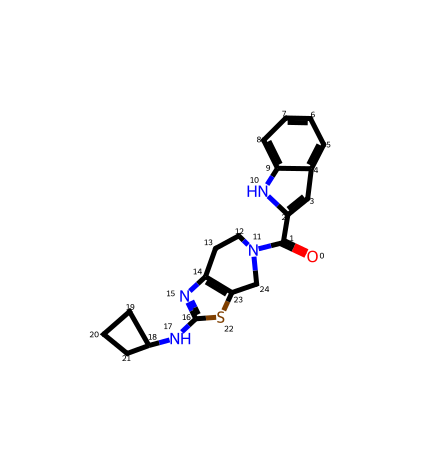 O=C(c1cc2ccccc2[nH]1)N1CCc2nc(NC3CCC3)sc2C1